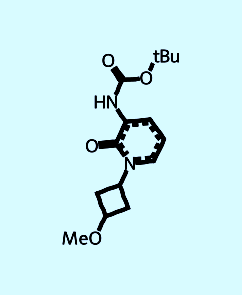 COC1CC(n2cccc(NC(=O)OC(C)(C)C)c2=O)C1